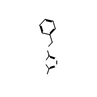 CC1=NN=C(SCc2ccccc2)[N]1